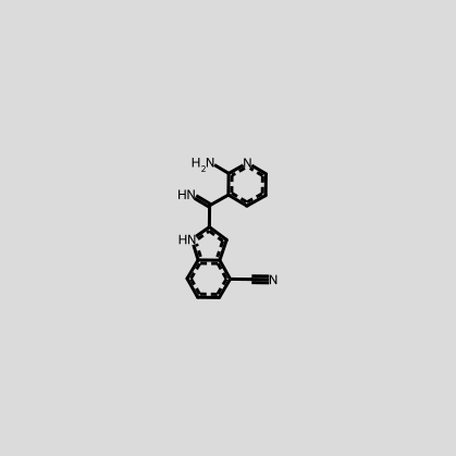 N#Cc1cccc2[nH]c(C(=N)c3cccnc3N)cc12